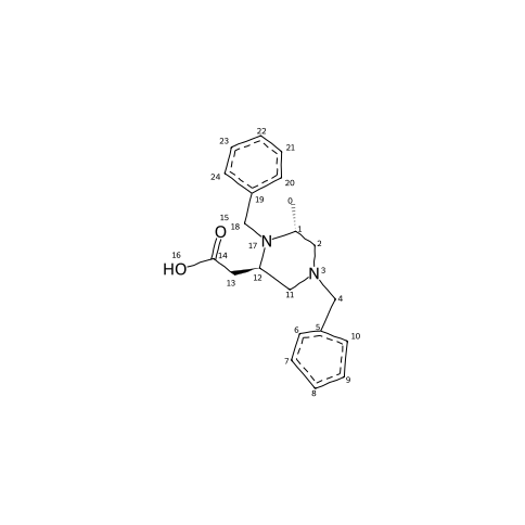 C[C@@H]1CN(Cc2ccccc2)C[C@@H](CC(=O)O)N1Cc1ccccc1